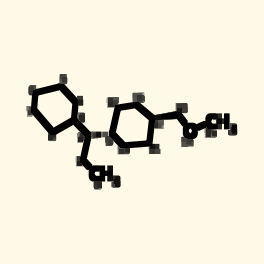 CCC(C1CCCCC1)[C@H]1CC[C@H](COC)CC1